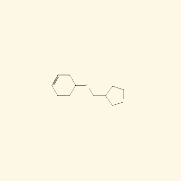 C1=CCC(NCC2CCNC2)CC1